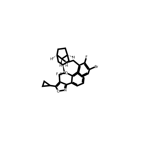 Fc1c(Br)cccc1CN[C@@H]1[C@@H]2CC[C@H]1C[C@@H](OCc1c(-c3ccccc3OC(F)(F)F)noc1C1CC1)C2